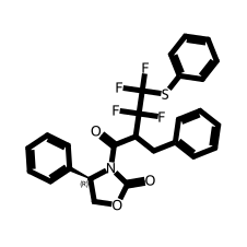 O=C1OC[C@@H](c2ccccc2)N1C(=O)C(Cc1ccccc1)C(F)(F)C(F)(F)Sc1ccccc1